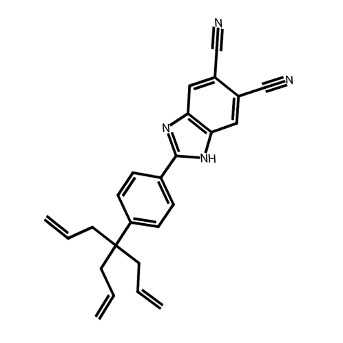 C=CCC(CC=C)(CC=C)c1ccc(-c2nc3cc(C#N)c(C#N)cc3[nH]2)cc1